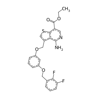 CCOC(=O)c1cnc(N)c2c(COc3cccc(OCc4cccc(F)c4F)c3)csc12